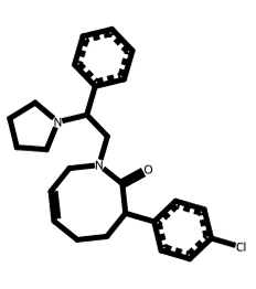 O=C1C(c2ccc(Cl)cc2)CCC=CCN1CC(c1ccccc1)N1CCCC1